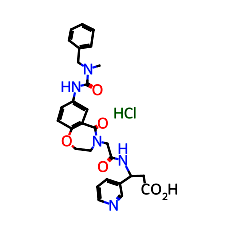 CN(Cc1ccccc1)C(=O)Nc1ccc2c(c1)C(=O)N(CC(=O)NC(CC(=O)O)c1cccnc1)CCO2.Cl